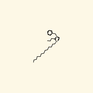 CCCCCCCCCCCCC[n+]1ccn(Cc2ccccc2)c1CCC